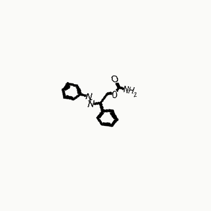 NC(=O)OCC(N=Nc1ccccc1)c1ccccc1